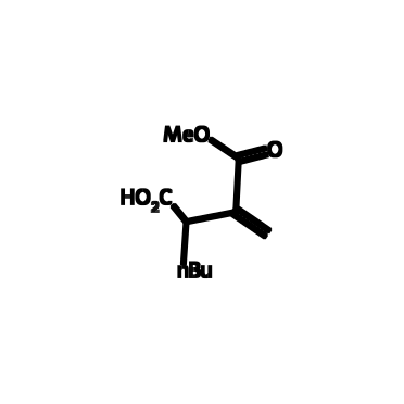 C=C(C(=O)OC)C(CCCC)C(=O)O